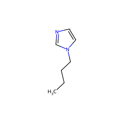 CCCCn1c[c]nc1